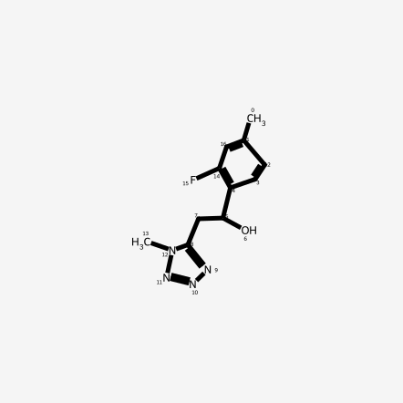 Cc1ccc(C(O)Cc2nnnn2C)c(F)c1